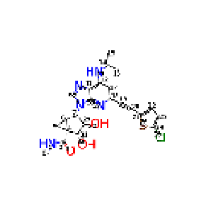 CNC(=O)[C@]12CC1[C@@H](n1cnc3c(NC(C)C)cc(C#Cc4ccc(Cl)s4)nc31)C(O)[C@@H]2O